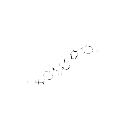 CC(C)(N)C(=O)N1CCN(C(=O)Nc2ccn(-c3ccc(CN4CC[C@@H](N)[C@H](F)C4)cc3)c(=O)n2)CC1